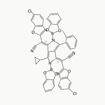 Cc1ccccc1-c1c2/c(=C(\C#N)c3nc4ccc(Cl)cc4o3)n(B3Oc4ccccc4O3)c(C3CC3)c2/c(=C(\C#N)c2nc3ccc(Cl)cc3o2)n1B1Oc2ccccc2O1